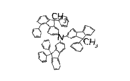 CC1(c2ccccc2)c2ccccc2-c2ccc(N(c3ccc4c(c3)C(C)(c3ccccc3)c3cccc(-c5ccccc5)c3-4)c3ccc4c(c3)C(c3ccccc3)(c3ccccc3)c3ccccc3-4)cc21